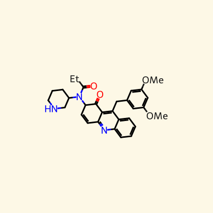 CCC(=O)N(C1CCCNC1)C1C=Cc2nc3ccccc3c(Cc3cc(OC)cc(OC)c3)c2C1=O